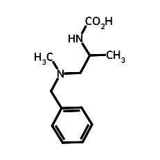 CC(CN(C)Cc1ccccc1)NC(=O)O